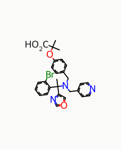 CC(C)(Oc1ccc(CN(Cc2ccncc2)C(C)(c2cocn2)c2ccccc2Br)cc1)C(=O)O